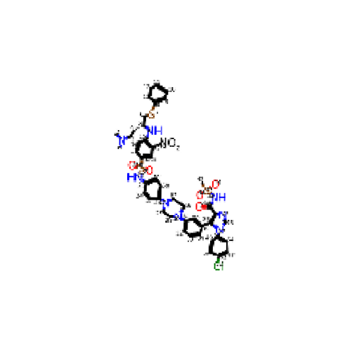 CN(C)CC[C@H](CSc1ccccc1)Nc1ccc(S(=O)(=O)Nc2ccc(N3CCN(c4cccc(-c5c(C(=O)NS(C)(=O)=O)ncn5-c5ccc(Cl)cc5)c4)CC3)cc2)cc1[N+](=O)[O-]